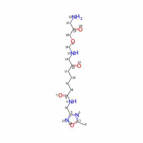 Cc1nc(CNC(=O)CCCCC(=O)CNCOCC(=O)CN)no1